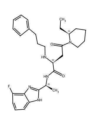 CC[C@H]1CCCCN1C(=O)C[C@H](NCCCc1ccccc1)C(=O)N[C@@H](C)c1nc2c(F)cccc2[nH]1